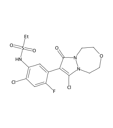 CCS(=O)(=O)Nc1cc(-c2c(Cl)n3n(c2=O)CCOCC3)c(F)cc1Cl